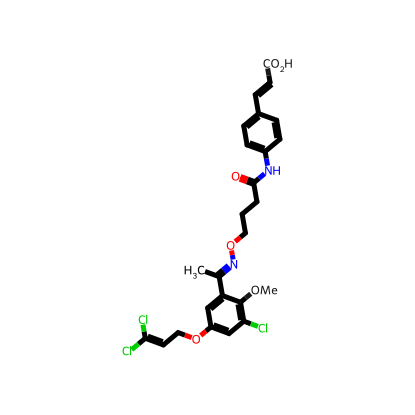 COc1c(Cl)cc(OCC=C(Cl)Cl)cc1C(C)=NOCCCC(=O)Nc1ccc(C=CC(=O)O)cc1